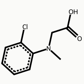 CN(CC(=O)O)c1ccccc1Cl